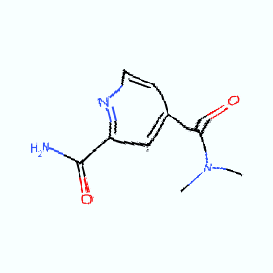 CN(C)C(=O)c1[c]c(C(N)=O)ncc1